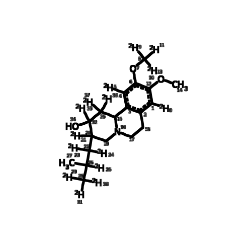 [2H]c1c2c(c([2H])c(OC([2H])([2H])[2H])c1OC)C1N(CC2)CC([2H])(C([2H])([2H])C([2H])(C)C([2H])([2H])[2H])C([2H])(O)C1([2H])[2H]